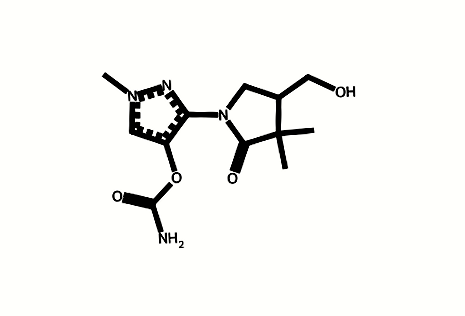 Cn1cc(OC(N)=O)c(N2CC(CO)C(C)(C)C2=O)n1